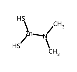 C[N](C)[Zn]([SH])[SH]